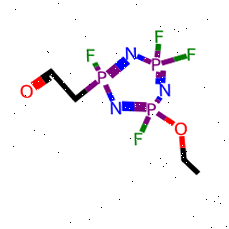 CCOP1(F)=NP(F)(CC=O)=NP(F)(F)=N1